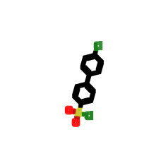 O=S(=O)(Cl)c1ccc(-c2ccc(Cl)cc2)cc1